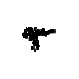 CC(C)(CCO)NC(=O)c1ccc(-c2cc3c(cc2C(=O)Nc2ccc(CN)cc2)-c2sccc2CCO3)c(C(=O)O)n1